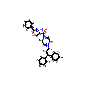 O=C([C@@H]1CSC(c2cccnc2)N1)N1CCN(CC=C(c2ccccc2)c2ccccc2)CC1